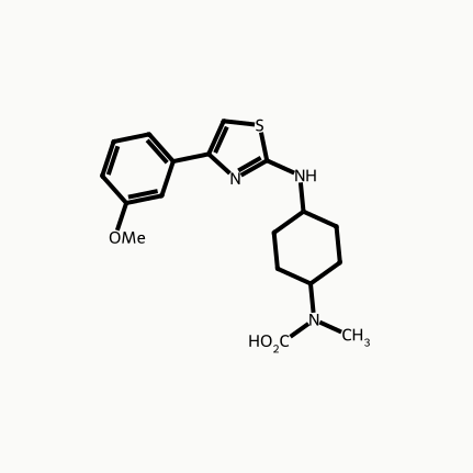 COc1cccc(-c2csc(NC3CCC(N(C)C(=O)O)CC3)n2)c1